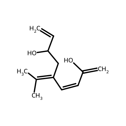 C=CC(O)CC(/C=C\C(=C)O)=C(C)C